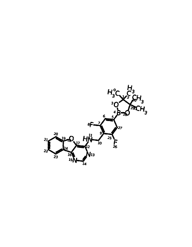 CC1(C)OB(c2cc(F)c(CNc3ncnc4c3oc3ccccc34)c(F)c2)OC1(C)C